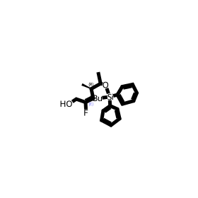 CC(O[Si](c1ccccc1)(c1ccccc1)C(C)(C)C)[C@H](C)/C=C(/F)CO